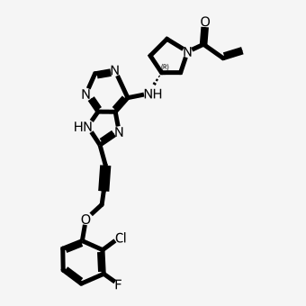 C=CC(=O)N1CC[C@@H](Nc2ncnc3[nH]c(C#CCOc4cccc(F)c4Cl)nc23)C1